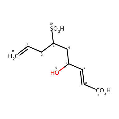 C=CCC(CC(O)C=CC(=O)O)S(=O)(=O)O